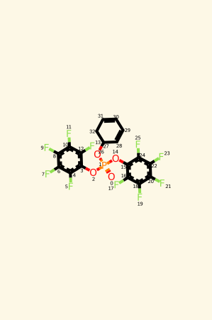 O=P(Oc1c(F)c(F)c(F)c(F)c1F)(Oc1c(F)c(F)c(F)c(F)c1F)OC1C=CC=CC1